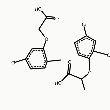 CC(Oc1ccc(Cl)cc1Cl)C(=O)O.Cc1ccc(Cl)cc1OCC(=O)O